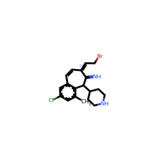 Cc1cc(Cl)cc2c1C(C1CCNCC1)C(=N)/C(=C\CBr)C=C2